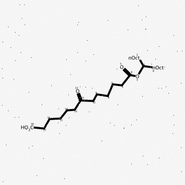 CCCCCCCCC(CCCCCCCC)OC(=O)CCCCCC(=O)CCCCCC(=O)O